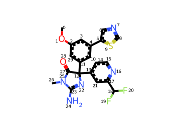 COc1cc(-c2cncs2)cc(C2(c3ccnc(C(F)F)c3)N=C(N)N(C)C2=O)c1